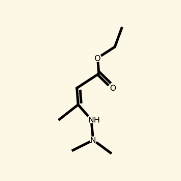 CCOC(=O)C=C(C)NN(C)C